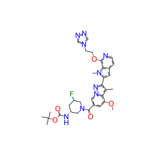 COc1cc(C(=O)N2C[C@H](F)C[C@@H](NC(=O)OC(C)(C)C)C2)cn2nc(-c3cc4ccnc(OCCn5cnnc5)c4n3C)c(C)c12